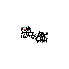 CC(C)(c1ccc(C(O)(C(F)(F)F)C(F)(F)F)c(O)c1)c1ccc(O)c(C(O)(C(F)(F)F)C(F)(F)F)c1